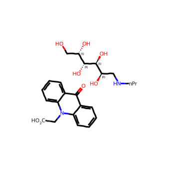 CCCNC[C@@H](O)[C@H](O)[C@H](O)[C@@H](O)CO.O=C(O)Cn1c2ccccc2c(=O)c2ccccc21